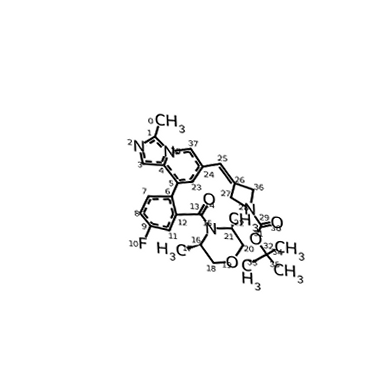 Cc1ncc2c(-c3ccc(F)cc3C(=O)N3[C@H](C)COC[C@H]3C)cc(C=C3CN(C(=O)OC(C)(C)C)C3)cn12